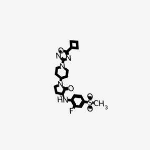 CS(=O)(=O)c1ccc(N[C@H]2CCN(C3CCN(c4noc(C5CCC5)n4)CC3)C2=O)c(F)c1